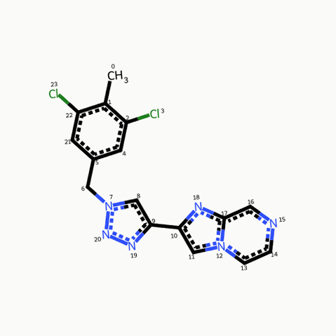 Cc1c(Cl)cc(Cn2cc(-c3cn4ccncc4n3)nn2)cc1Cl